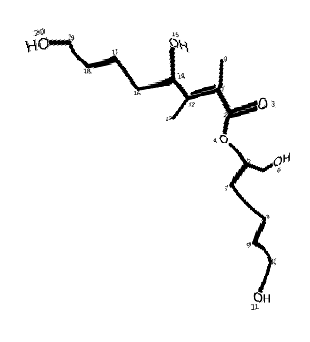 CC(C(=O)OC(O)CCCCO)=C(C)C(O)CCCCO